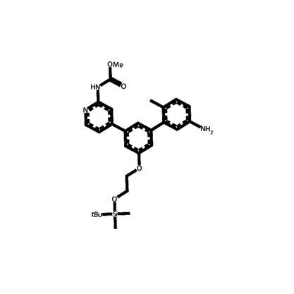 COC(=O)Nc1cc(-c2cc(OCCO[Si](C)(C)C(C)(C)C)cc(-c3cc(N)ccc3C)c2)ccn1